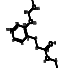 CCOC(=O)CCc1ccncc1OCOC